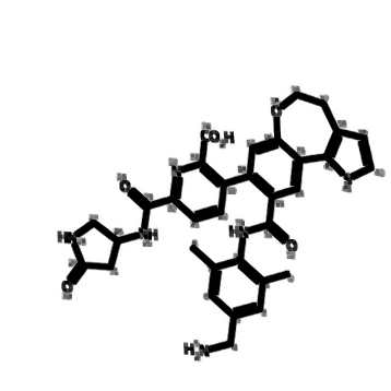 Cc1cc(CN)cc(C)c1NC(=O)c1cc2c(cc1-c1ccc(C(=O)NC3CNC(=O)C3)nc1C(=O)O)OCCc1ccsc1-2